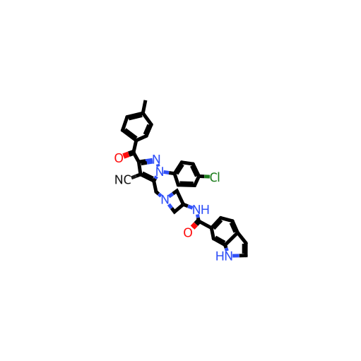 Cc1ccc(C(=O)c2nn(-c3ccc(Cl)cc3)c(CN3CC(NC(=O)c4ccc5cc[nH]c5c4)C3)c2C#N)cc1